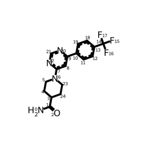 NC(=O)C1CCN(c2cc(-c3ccc(C(F)(F)F)cc3)ncn2)CC1